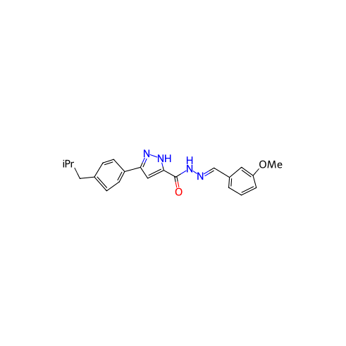 COc1cccc(/C=N/NC(=O)c2cc(-c3ccc(CC(C)C)cc3)n[nH]2)c1